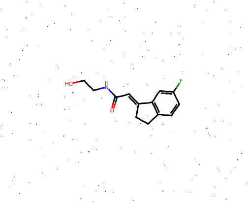 O=C(/C=C1\CCc2ccc(F)cc21)NCCO